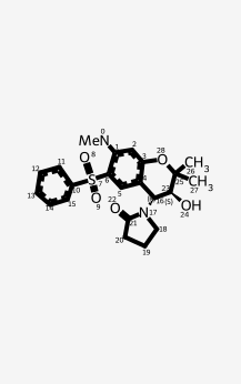 CNc1cc2c(cc1S(=O)(=O)c1ccccc1)[C@@H](N1CCCC1=O)[C@H](O)C(C)(C)O2